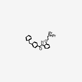 CC(C)N(CCOc1ccccc1NC(=O)c1ccc(Cc2ccccc2)cc1)C(C)C